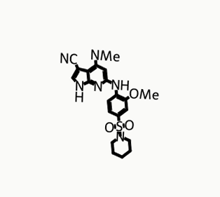 CNc1cc(Nc2ccc(S(=O)(=O)N3CCCCC3)cc2OC)nc2[nH]cc(C#N)c12